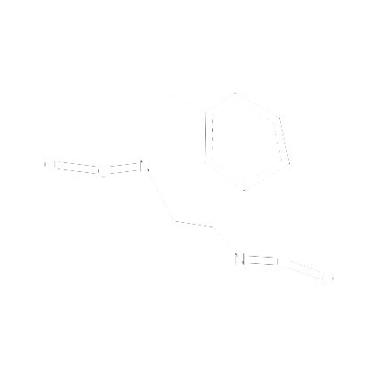 Cc1ccccc1.O=C=NCCN=C=O